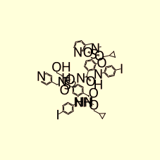 CN(Cc1cccnc1)S(=O)(=O)c1ccc(C(N)=O)c(Nc2ccc(I)cc2)c1OCC1CC1.O=C(NOCC1CC1)c1ccc(S(=O)(=O)N(CCO)Cc2ccncc2)cc1Nc1ccc(I)cc1